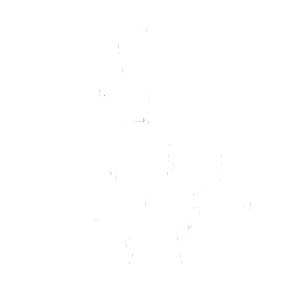 Fc1cccc(F)c1C1=NCc2nc(CCl)cn2-c2ccc(Cl)c(Cl)c21